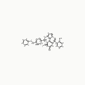 CC(C)C[C@H](NC(=O)OCc1ccccc1)C(=O)NCc1cncn1-c1ccc(Cl)cc1C(=O)c1ccccc1F